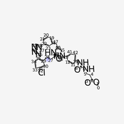 COC(=O)CCNC(=O)Nc1ccc(NC[C@H](Cc2ccccc2)NC(=O)/C=C/c2cc(Cl)ccc2-n2cnnn2)cc1